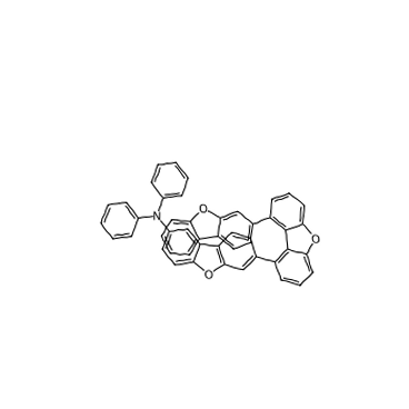 c1ccc(N(c2ccccc2)c2ccc3oc4cc(-c5cccc6oc7cccc(-c8ccc9c(c8)oc8ccccc89)c7c56)ccc4c3c2)cc1